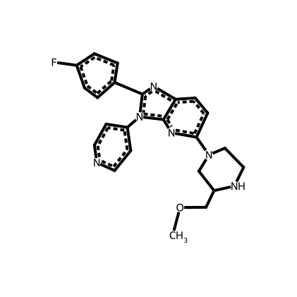 COCC1CN(c2ccc3nc(-c4ccc(F)cc4)n(-c4ccncc4)c3n2)CCN1